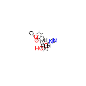 CC(C)[C@@H](C)[C@@]1(C)CC[C@]2(C)[C@H]3CC[C@@H]4[C@](CO)(C[C@@]5(C)C[C@]4(C)[C@H]5OCCN4CCN(C)CC4)C3=CC[C@@]2(C)[C@@H]1C(=O)OCc1ccccc1